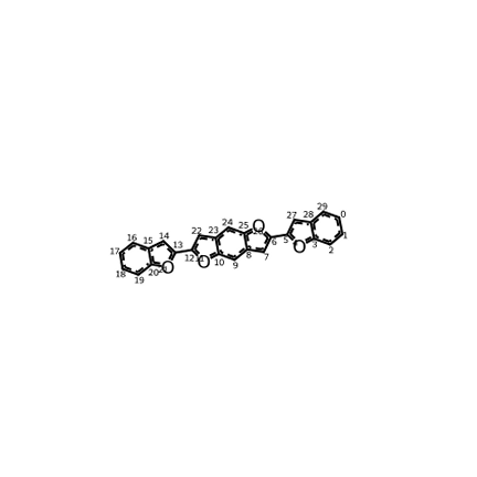 c1ccc2oc(-c3cc4cc5oc(-c6cc7ccccc7o6)cc5cc4o3)cc2c1